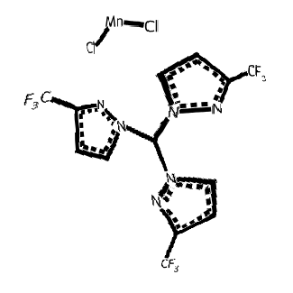 FC(F)(F)c1ccn(C(n2ccc(C(F)(F)F)n2)n2ccc(C(F)(F)F)n2)n1.[Cl][Mn][Cl]